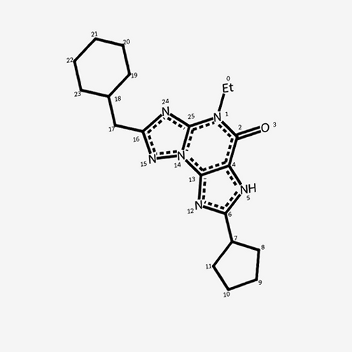 CCn1c(=O)c2[nH]c(C3CCCC3)nc2n2nc(CC3CCCCC3)nc12